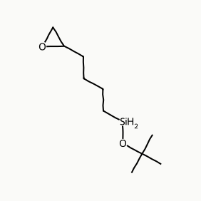 CC(C)(C)O[SiH2]CCCCC1CO1